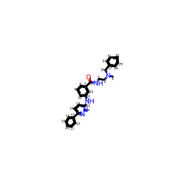 CN(CCNC(=O)c1cccc(Nc2ccc(-c3ccccc3)nn2)c1)Cc1ccccc1